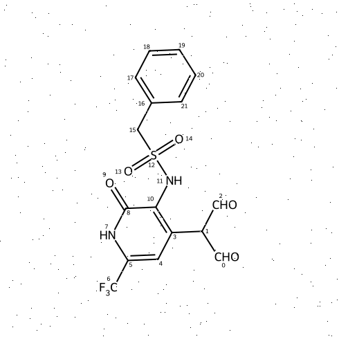 O=CC(C=O)c1cc(C(F)(F)F)[nH]c(=O)c1NS(=O)(=O)Cc1ccccc1